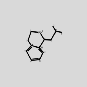 CC(C)CC1[N]CCc2ccccc21